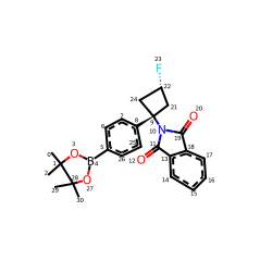 CC1(C)OB(c2ccc([C@]3(N4C(=O)c5ccccc5C4=O)C[C@@H](F)C3)cc2)OC1(C)C